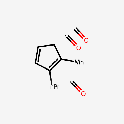 CCCC1=[C]([Mn])CC=C1.[C]=O.[C]=O.[C]=O